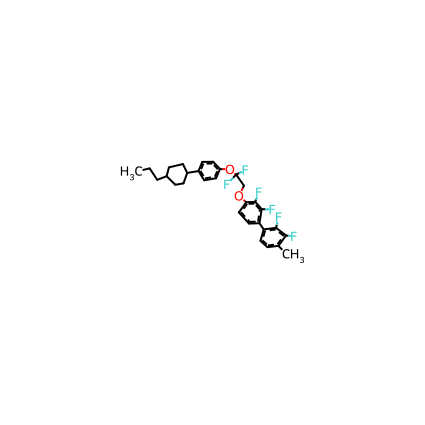 CCCC1CCC(c2ccc(OC(F)(F)COc3ccc(-c4ccc(C)c(F)c4F)c(F)c3F)cc2)CC1